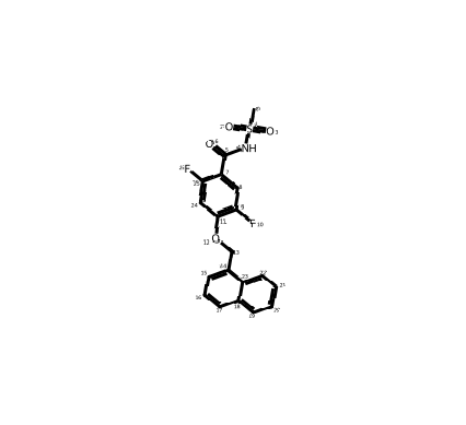 CS(=O)(=O)NC(=O)c1cc(F)c(OCc2cccc3ccccc23)cc1F